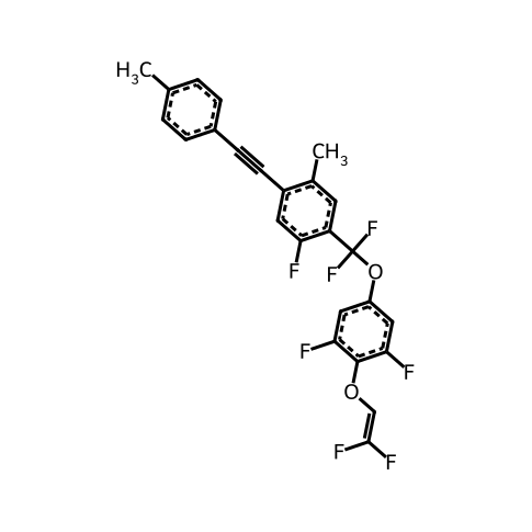 Cc1ccc(C#Cc2cc(F)c(C(F)(F)Oc3cc(F)c(OC=C(F)F)c(F)c3)cc2C)cc1